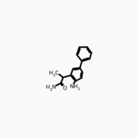 CC(C(N)=O)c1cc(-c2ccccc2)ccc1N